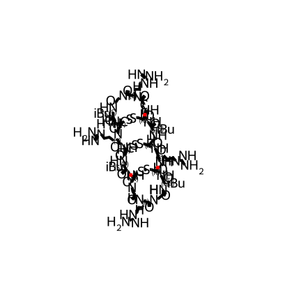 CC[C@H](C)[C@@H]1NC(=O)CNC(=O)[C@H](CCCNC(=N)N)NC(=O)CNC(=O)[C@@H]2CSSC[C@H](NC1=O)C(=O)N[C@@H](CCCNC(=N)N)C(=O)N[C@H]1CSSC[C@H](NC(=O)[C@H](CCCNC(=N)N)NC(=O)[C@@H]3CSSC[C@H](NC(=O)[C@H]([C@@H](C)CC)NC1=O)C(=O)NCC(=O)N[C@@H](CCCNC(=N)N)C(=O)NCC(=O)N[C@@H]([C@@H](C)CC)C(=O)N3)C(=O)N[C@@H]([C@@H](C)CC)C(=O)N2